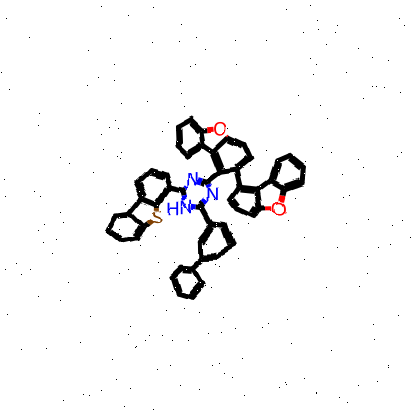 c1ccc(-c2cccc(C3=NC(c4c(-c5cccc6oc7ccccc7c56)ccc5oc6ccccc6c45)=NC(c4cccc5c4sc4ccccc45)N3)c2)cc1